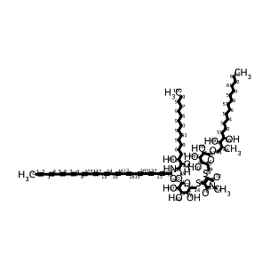 CC#CC#CC#CC#CC#CC#CC#CC#CC#CC#CC#CC#CC(=O)N[C@@H](CO[C@H]1OC(CSC2=C(SCC3O[C@H](OC[C@H](C)[C@H](O)[C@H](O)CCCCCCCCCCCCCC)C(O)[C@@H](O)[C@H]3O)C(=O)N(C)C2=O)[C@H](O)[C@H](O)C1O)[C@H](O)[C@H](O)CCCCCCCCCCCCCC